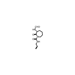 C=CCNC(=O)N1CCCC[C@H](N[C]=O)C1=O